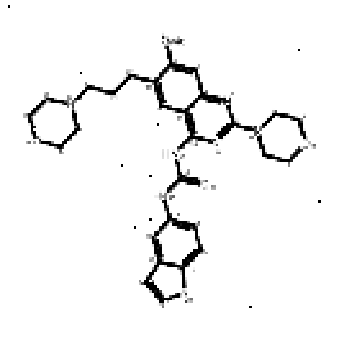 COc1cc2nc(N3CCOCC3)nc(NC(=O)Nc3ccc4[nH]ccc4c3)c2cc1CCCN1CCOCC1